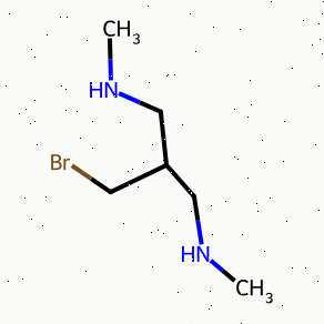 CNCC(CBr)CNC